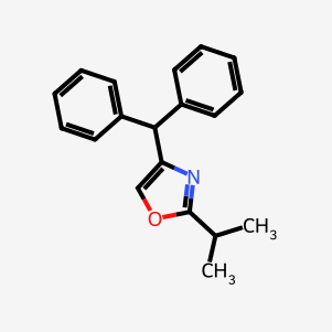 CC(C)c1nc(C(c2ccccc2)c2ccccc2)co1